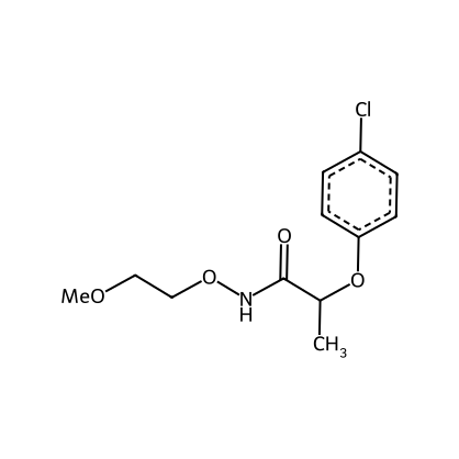 COCCONC(=O)C(C)Oc1ccc(Cl)cc1